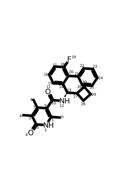 Cc1[nH]c(=O)c(C)c(C)c1C(=O)N[C@H](c1cccc(F)c1-c1ccccc1)C1CCC1